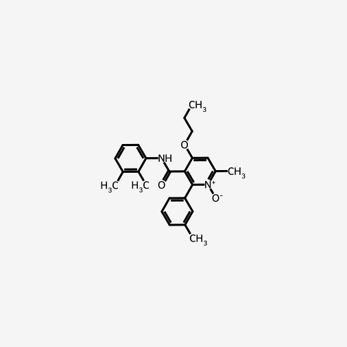 CCCOc1cc(C)[n+]([O-])c(-c2cccc(C)c2)c1C(=O)Nc1cccc(C)c1C